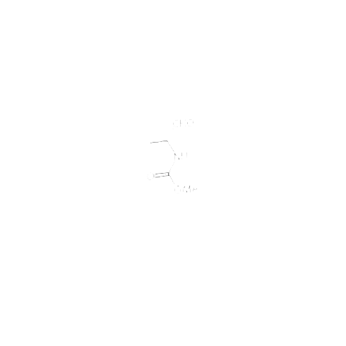 COC(=O)N[C@H](C)[C]=O